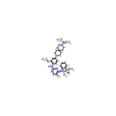 COc1cc(N2CCC3(CC2)CCN(C(C)C)CC3)ccc1Nc1ncc(Cl)c(Nc2ccccc2P(C)(C)=O)n1